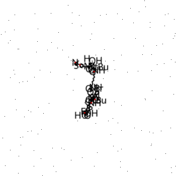 Cc1ncsc1-c1ccc(CNC(=O)[C@@H]2C[C@@H](O)CN2C(=O)[C@@H](NC(=O)CCCCCCCCNC(=O)CO[C@@H]2C[C@@H](C(=O)N(C)c3ccc(Br)cc3)N(C(=O)[C@@H](NC(=O)c3cc4cc(C(F)(F)P(=O)(O)O)ccc4s3)C(C)(C)C)C2)C(C)(C)C)cc1